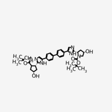 CC(C)(C)OC(=O)C1C[C@@H](O)C[C@H]1c1ncc(-c2ccc(-c3ccc(-c4cnc([C@@H]5C[C@H](O)CN5C(=O)OC(C)(C)C)[nH]4)cc3)cc2)[nH]1